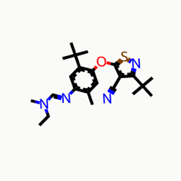 CCN(C)C=Nc1cc(C(C)(C)C)c(Oc2snc(C(C)(C)C)c2C#N)cc1C